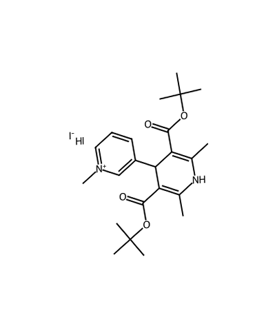 CC1=C(C(=O)OC(C)(C)C)C(c2ccc[n+](C)c2)C(C(=O)OC(C)(C)C)=C(C)N1.I.[I-]